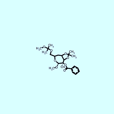 CO[C@H]1OC(COC(C)(C)OC)CC2OC(C)(C)OC2[C@@]1(C)OC(=O)c1ccccc1